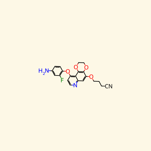 N#CCCCOc1cc2nccc(Oc3ccc(N)cc3F)c2c2c1OCCO2